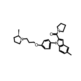 Cc1ccc2c(c1)cc(C(=O)N1CCCC1)n2-c1ccc(OCCCN2CCC[C@H]2C)cc1